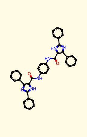 O=C(Nc1ccc(NC(=O)c2[nH]c(-c3ccccc3)nc2-c2ccccc2)cc1)c1[nH]c(-c2ccccc2)nc1-c1ccccc1